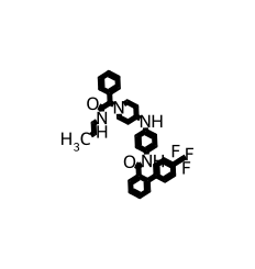 CCCNC(=O)C(c1ccccc1)N1CCC(Nc2ccc(NC(=O)c3ccccc3-c3ccc(C(F)(F)F)cc3)cc2)CC1